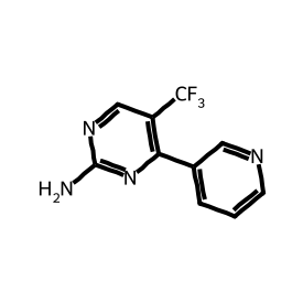 Nc1ncc(C(F)(F)F)c(-c2cccnc2)n1